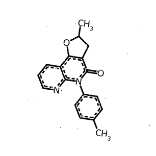 Cc1ccc(-n2c(=O)c3c(c4cccnc42)OC(C)C3)cc1